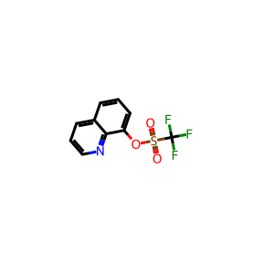 O=S(=O)(Oc1cccc2cccnc12)C(F)(F)F